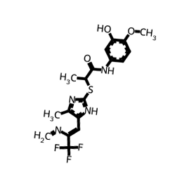 C=N/C(=C\c1[nH]c(SC(C)C(=O)Nc2ccc(OC)c(O)c2)nc1C)C(F)(F)F